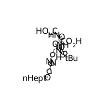 CCCCCCCOc1ccc(-c2cnc(-c3ccc(C[C@H](NC(=O)c4ccc(C(C)(C)C)s4)C(=O)N[C@@H](CC(=O)NCC(=O)O)C(=O)O)cc3)nc2)cc1